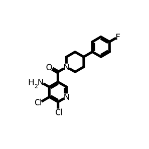 Nc1c(C(=O)N2CCC(c3ccc(F)cc3)CC2)cnc(Cl)c1Cl